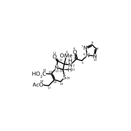 COC1(NC(=O)Cn2nccn2)C(=O)N2C(C(=O)O)=C(COC(C)=O)CS[C@H]21